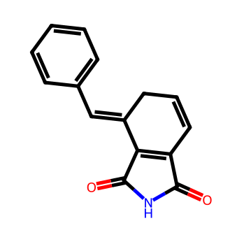 O=C1NC(=O)C2=C1C=CCC2=Cc1ccccc1